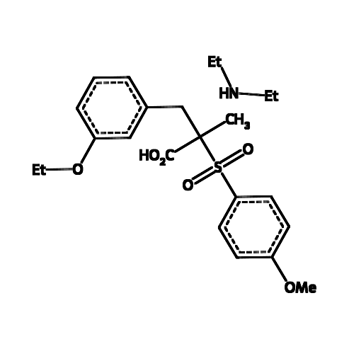 CCNCC.CCOc1cccc(CC(C)(C(=O)O)S(=O)(=O)c2ccc(OC)cc2)c1